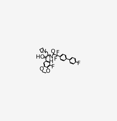 O=C(N[C@H](CN1CCC1)[C@H](O)c1cc(F)c2c(c1)OCCO2)C(F)(F)c1ccc(-c2ccc(F)cc2)cc1